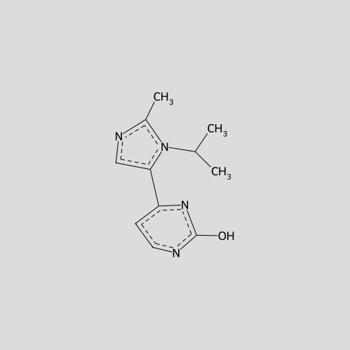 Cc1ncc(-c2ccnc(O)n2)n1C(C)C